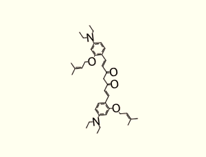 CCN(CC)c1ccc(/C=C/C(=O)CC(=O)/C=C/c2ccc(N(CC)CC)cc2OCC=C(C)C)c(OCC=C(C)C)c1